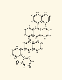 c1ccc2c(-c3c4ccccc4c(-c4cccc5cc(-c6cccc7oc8ccccc8c67)ccc45)c4ccccc34)cccc2c1